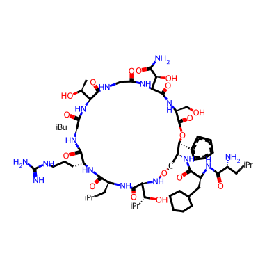 CC[C@H](C)[C@@H]1NC(=O)[C@@H](CCCNC(=N)N)NC(=O)[C@H](CC(C)C)NC(=O)[C@H]([C@H](O)C(C)C)NOC[C@@H](NC(=O)[C@H](CC2CCCCC2)NC(=O)[C@H](N)CC(C)C)[C@@H](c2ccccc2)OC(=O)[C@H](CO)NC(=O)[C@H]([C@H](O)C(N)=O)NC(=O)CNC(=O)[C@H]([C@H](C)O)NC1=O